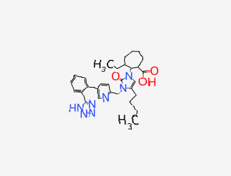 CCCCc1cn(C2C(CC)CCCCC2C(=O)O)c(=O)n1Cc1ccc(-c2ccccc2-c2nnn[nH]2)cn1